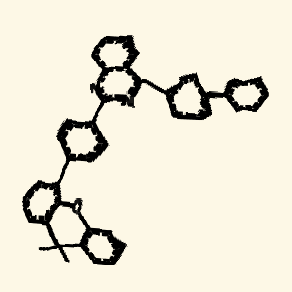 CC1(C)c2ccccc2Oc2c(-c3ccc(-c4nc(-c5ccc(-c6ccccc6)cc5)c5ccccc5n4)cc3)cccc21